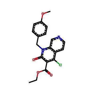 CCOC(=O)c1c(Cl)c2ccncc2n(Cc2ccc(OC)cc2)c1=O